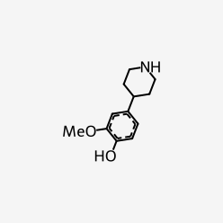 COc1cc(C2CCNCC2)ccc1O